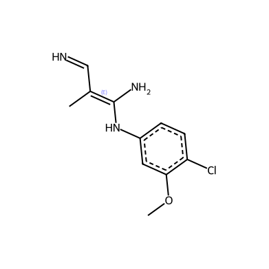 COc1cc(N/C(N)=C(\C)C=N)ccc1Cl